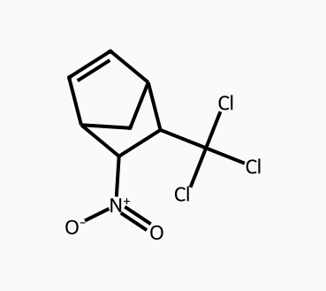 O=[N+]([O-])C1C2C=CC(C2)C1C(Cl)(Cl)Cl